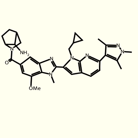 COc1cc(C(=O)N2CC3CCC2C3N)cc2nc(-c3cc4ccc(-c5c(C)nn(C)c5C)nc4n3CC3CC3)n(C)c12